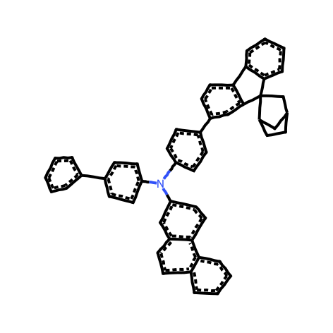 c1ccc(-c2ccc(N(c3ccc(-c4ccc5c(c4)C4(CC6CCC4C6)c4ccccc4-5)cc3)c3ccc4c(ccc5ccccc54)c3)cc2)cc1